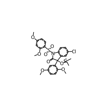 COc1ccc(S(=O)(=O)N2C(=O)C(O[Si](C)(C)C)(c3cc(OC)ccc3OC)c3cc(Cl)ccc32)c(OC)c1